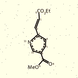 CCOC(=O)/C=C/c1ccc(C(=O)OC)cn1